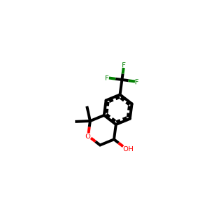 CC1(C)OCC(O)c2ccc(C(F)(F)F)cc21